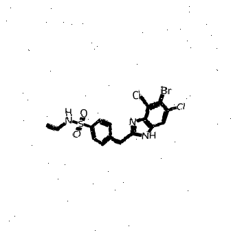 CCNS(=O)(=O)c1ccc(Cc2nc3c(Cl)c(Br)c(Cl)cc3[nH]2)cc1